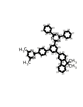 Cc1cc(C)nc(-c2ccc(-c3cc(-c4ccc5c(c4)-c4ccccc4C5(C)C)cc(-c4nc(-c5ccccc5)nc(-c5ccccc5)n4)c3)cc2)n1